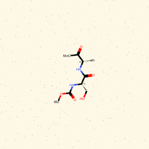 COC(=O)[C@@H](NC(=O)[C@H](CO)NC(=O)OC(C)(C)C)C(C)C